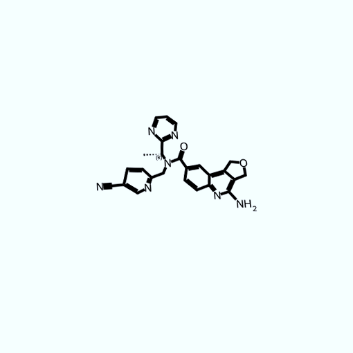 C[C@H](c1ncccn1)N(Cc1ccc(C#N)cn1)C(=O)c1ccc2nc(N)c3c(c2c1)COC3